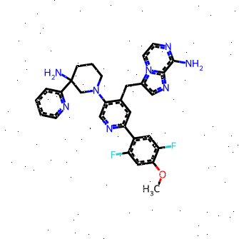 COc1cc(F)c(-c2cc(Cc3cnc4c(N)nccn34)c(N3CCCC(N)(c4ccccn4)C3)cn2)cc1F